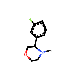 CCN1CCOCC1c1cccc(F)c1